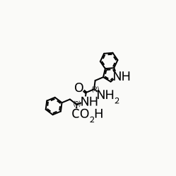 N[C@H](Cc1c[nH]c2ccccc12)C(=O)N[C@H](Cc1ccccc1)C(=O)O